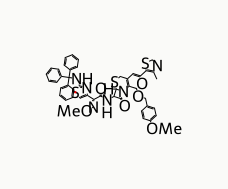 CON=C(C(=O)NC1C(=O)N2C(C(=O)OCc3ccc(OC)cc3)=C(C=Cc3scnc3C)CS[C@@H]12)c1csc(NC(c2ccccc2)(c2ccccc2)c2ccccc2)n1